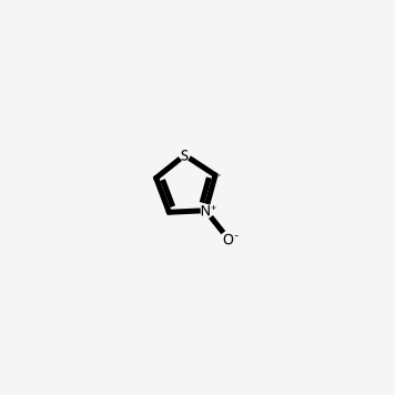 [O-][n+]1[c]scc1